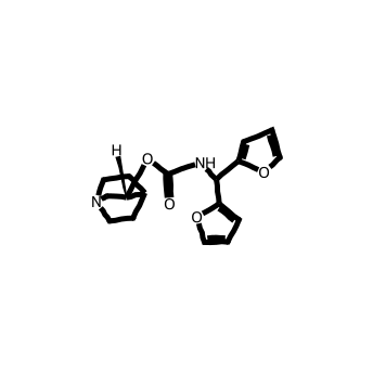 O=C(NC(c1ccco1)c1ccco1)O[C@H]1CN2CCC1CC2